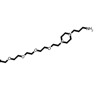 C#CCOCCOCCOCCOCCN1CCN(CCCN)CC1